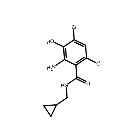 Nc1c(O)c(Cl)cc(Cl)c1C(=O)NCC1CC1